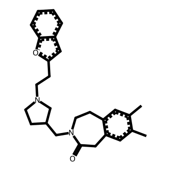 Cc1cc2c(cc1C)CC(=O)N(CC1CCN(CCc3cc4ccccc4o3)C1)CC2